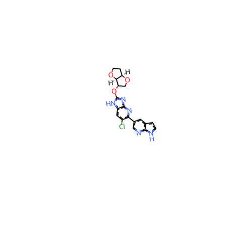 Clc1cc2[nH]c(O[C@@H]3CO[C@@H]4CCO[C@@H]43)nc2nc1-c1cnc2[nH]ccc2c1